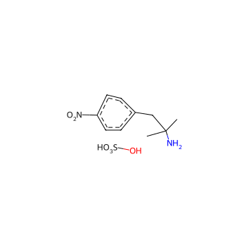 CC(C)(N)Cc1ccc([N+](=O)[O-])cc1.O=S(=O)(O)O